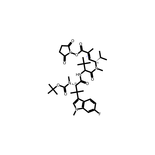 C/C(=C\[C@H](C(C)C)N(C)C(=O)C(NC(=O)[C@@H](N(C)C(=O)OC(C)(C)C)C(C)(C)c1cn(C)c2cc(F)ccc12)C(C)(C)C)C(=O)ON1C(=O)CCC1=O